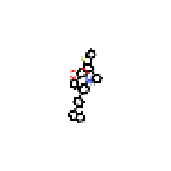 c1ccc(N(c2ccc(-c3ccc(-c4cccc5ccccc45)cc3)cc2)c2cccc3oc4ccccc4c23)c(-c2ccc3sc4ccccc4c3c2)c1